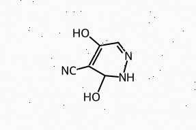 N#CC1=C(O)C=NNC1O